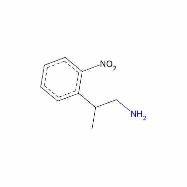 CC(CN)c1ccccc1[N+](=O)[O-]